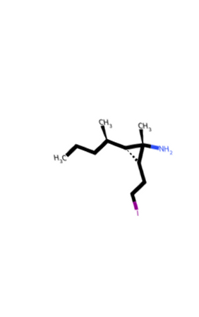 CCC[C@@H](C)[C@H]1C(CCI)[C@@]1(C)N